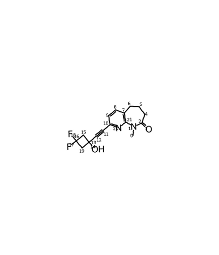 CN1C(=O)CCCc2ccc(C#CC3(O)CC(F)(F)C3)nc21